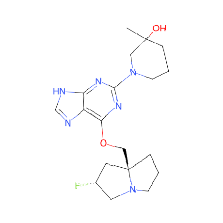 CC1(O)CCCN(c2nc(OC[C@@]34CCCN3C[C@H](F)C4)c3nc[nH]c3n2)C1